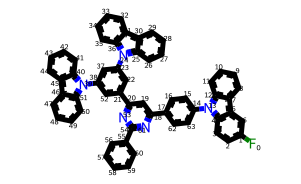 Fc1ccc2c(c1)c1ccccc1n2-c1ccc(-c2cc(-c3cc(-n4c5ccccc5c5ccccc54)cc(-n4c5ccccc5c5ccccc54)c3)nc(-c3ccccc3)n2)cc1